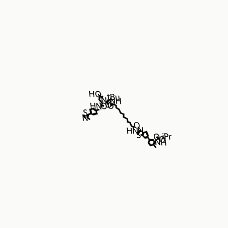 Cc1ccc(-c2ccc3nc(NC(=O)CCCCCCCCCCC(=O)N[C@H](C(=O)N4C[C@H](O)C[C@H]4C(=O)NCc4ccc(-c5scnc5C)cc4)C(C)(C)C)sc3c2)cc1NC(=O)OC(C)C